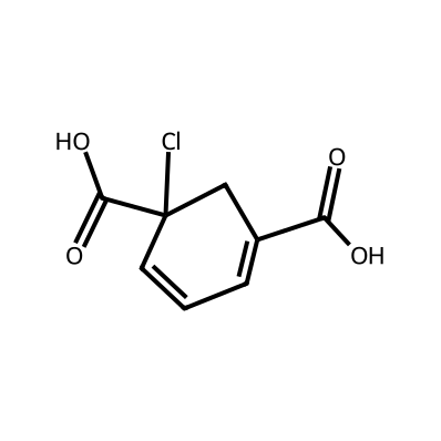 O=C(O)C1=CC=CC(Cl)(C(=O)O)C1